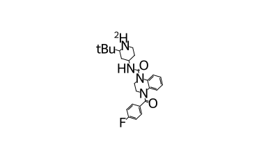 [2H]N1CCC(NC(=O)N2CCN(C(=O)c3ccc(F)cc3)c3ccccc32)CC1C(C)(C)C